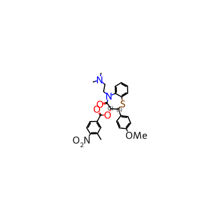 COc1ccc([C@@H]2Sc3ccccc3N(CCN(C)C)C(=O)[C@@H]2OC(=O)c2ccc([N+](=O)[O-])c(C)c2)cc1